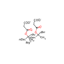 CCCCCCCCCCC(C)(CCCC)OC(=O)CC(=O)[O-].CCCCCCCCCCC(C)(CCCC)OC(=O)CC(=O)[O-].[Mg+2]